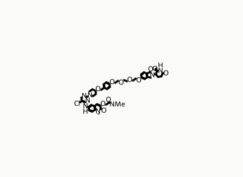 CNC(=O)COc1cc2cc(Nc3nc(N4CCC(OCc5ccc(OCCOCCOCCOc6ccc7c(c6)CN(C6CCC(=O)NC6=O)C7=O)cc5)CC4)ncc3Cl)ccc2n(C)c1=O